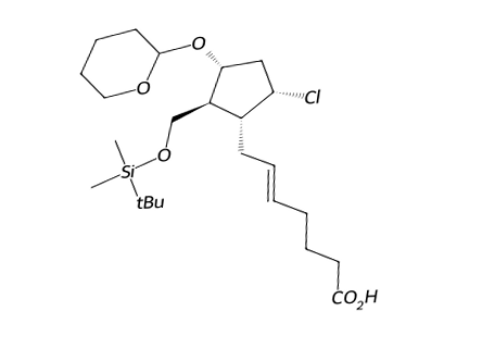 CC(C)(C)[Si](C)(C)OC[C@@H]1[C@@H](CC=CCCCC(=O)O)[C@@H](Cl)C[C@H]1OC1CCCCO1